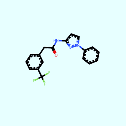 O=C(Cc1cccc(C(F)(F)F)c1)Nc1ccn(-c2ccccc2)n1